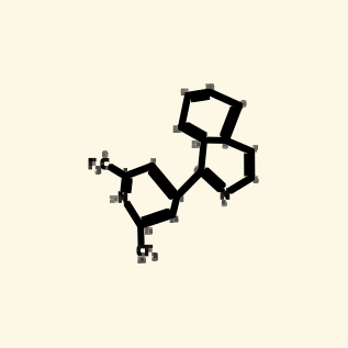 FC(F)(F)c1cc(-c2nccc3ccccc23)cc(C(F)(F)F)n1